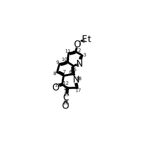 CCOc1cnc2c3c(ccc2c1)C(=O)C(=C=O)C=N3